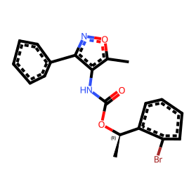 Cc1onc(-c2ccccc2)c1NC(=O)O[C@H](C)c1ccccc1Br